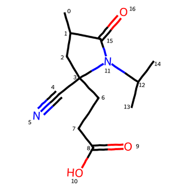 CC1CC(C#N)(CCC(=O)O)N(C(C)C)C1=O